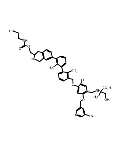 Cc1c(COc2cc(OCc3cncc(C#N)c3)c(CNC(C)(CO)C(=O)O)cc2Cl)cccc1-c1cccc(-c2ccc3c(c2)CNC(COC(=O)NCCO)C3)c1C